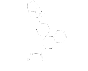 CCNC(=O)N1Cc2ccccc2C2(CCN(C3CC4CCC(C3)N4C(=O)OCC)CC2)C1